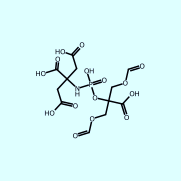 O=COCC(COC=O)(OP(=O)(O)NC(CC(=O)O)(CC(=O)O)C(=O)O)C(=O)O